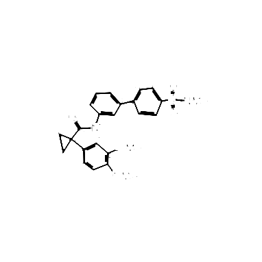 CNS(=O)(=O)c1ccc(-c2cccc(NC(=O)C3(c4ccc(OC)c(OC)c4)CC3)c2)cc1